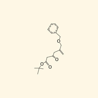 C=C(COCc1ccccc1)CC(=O)CC(=O)OC(C)(C)C